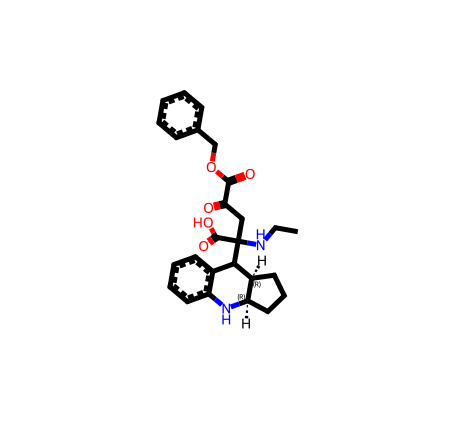 CCNC(CC(=O)C(=O)OCc1ccccc1)(C(=O)O)C1c2ccccc2N[C@@H]2CCC[C@H]12